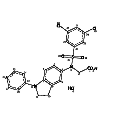 Cl.O=C(O)CN(c1ccc2c(c1)CCN2c1ccncc1)S(=O)(=O)c1cc(Cl)cc(Cl)c1